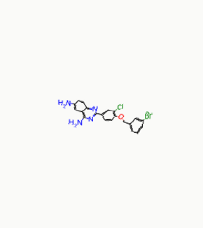 Nc1ccc2nc(-c3ccc(OCc4cccc(Br)c4)c(Cl)c3)nc(N)c2c1